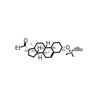 CCC(=O)[C@H]1CC[C@H]2[C@@H]3CC=C4C[C@@H](O[Si](C)(C)C(C)(C)C)CC[C@]4(C)[C@H]3CC[C@]12C